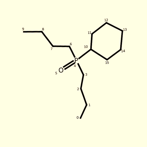 CCCCP(=O)(CCCC)C1CCCCC1